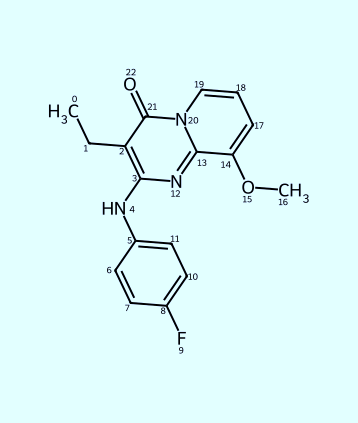 CCc1c(Nc2ccc(F)cc2)nc2c(OC)cccn2c1=O